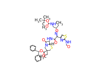 C=CC1(C(=O)OC(c2ccccc2)c2ccccc2)CS[C@@H]2C(NC(=O)C(=NOC(CC)CNC(=O)OC(C)(C)C)c3csc(NC=O)n3)C(=O)N2C1